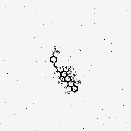 CN(C)[C@@H]1C(O)=C(C(=O)NCN2CCC(O[N+](=O)[O-])CC2)C(=O)[C@@]2(O)C(O)=C3C(=O)c4c(O)cccc4C(C)(O)[C@H]3[C@H](O)[C@@H]12